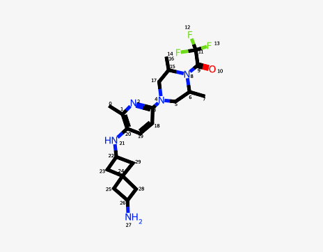 Cc1nc(N2CC(C)N(C(=O)C(F)(F)F)C(C)C2)ccc1NC1CC2(CC(N)C2)C1